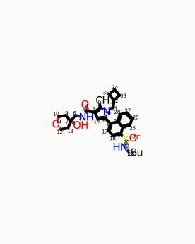 Cc1c(C(=O)NCC2(O)CCOCC2)cc(-c2ccc([S+]([O-])NC(C)(C)C)c3ccccc23)n1CC1CCC1